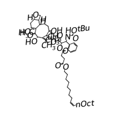 CCCCCCCC/C=C\CCCCCCCCOC(=O)CCC(=O)O[C@@H](C(=O)O[C@H]1C[C@@]2(O)CC[C@@H]3[C@@H]4CO[C@@H]4C[C@H](O)[C@]3(C)C(=O)[C@H](O)C(=C1C)C2(C)C)[C@@H](NC(=O)OC(C)(C)C)c1ccccc1